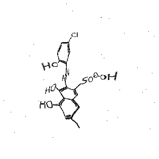 Cc1cc(O)c2c(O)c(N=Nc3cc(Cl)ccc3O)c(SOOO)cc2c1